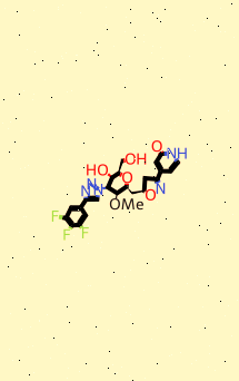 CO[C@@H]1[C@@H](n2cc(-c3cc(F)c(F)c(F)c3)nn2)[C@@H](O)[C@@H](CO)O[C@@H]1C[C@H]1CC(c2cc[nH]c(=O)c2)=NO1